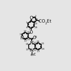 CCOC(=O)c1coc2ccc(Oc3ccncc3C(=O)N3CCN(C(C)=O)c4ccccc43)cc12